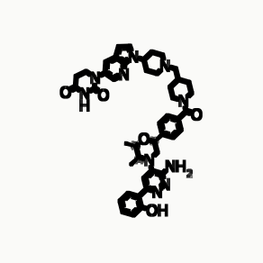 C[C@H]1O[C@@H](c2ccc(C(=O)N3CCC(CN4CCC(n5ccc6cc(N7CCC(=O)NC7=O)cnc65)CC4)CC3)cc2)CN(c2cc(-c3ccccc3O)nnc2N)[C@H]1C